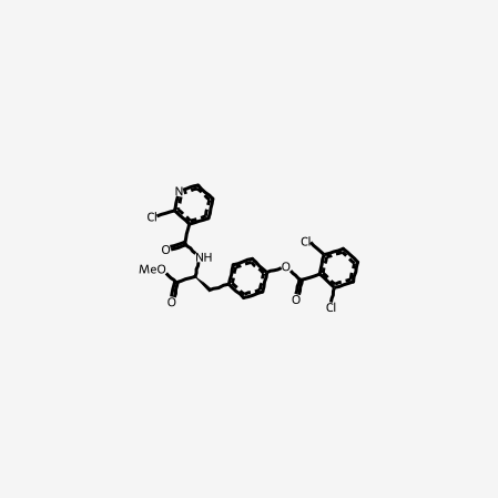 COC(=O)[C@H](Cc1ccc(OC(=O)c2c(Cl)cccc2Cl)cc1)NC(=O)c1cccnc1Cl